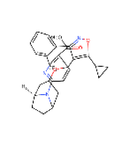 COC(=O)c1ccc(N2C3CC[C@H]2CC(OCc2c(-c4ccccc4C(F)(F)F)noc2C2CC2)C3)nc1